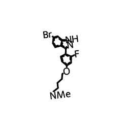 CNCCCCCOc1ccc(-c2n[nH]c3cc(Br)ccc23)c(F)c1